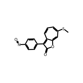 CSc1cccc2c(-c3ccc(N=O)cc3)c(=O)oc-2c1